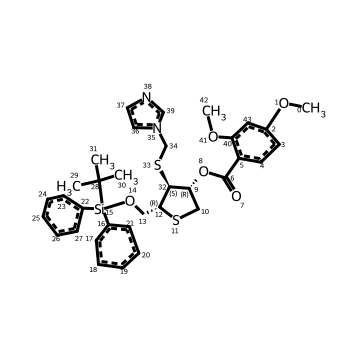 COc1ccc(C(=O)O[C@@H]2CS[C@H](CO[Si](c3ccccc3)(c3ccccc3)C(C)(C)C)[C@H]2SCn2ccnc2)c(OC)c1